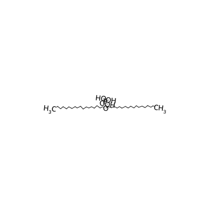 CCCCCCCCCCCCCCCCCCOCCCCCCCCCCCCCCCCCC.O=P(O)(O)O